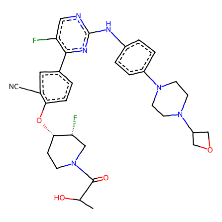 CC(O)C(=O)N1CC[C@H](Oc2ccc(-c3nc(Nc4ccc(N5CCN(C6COC6)CC5)cc4)ncc3F)cc2C#N)[C@H](F)C1